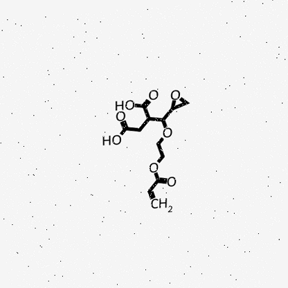 C=CC(=O)OCCOC(C1CO1)C(CC(=O)O)C(=O)O